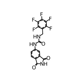 O=C(NCc1c(F)c(F)c(F)c(F)c1F)Nc1ccc2c(c1)C(=O)NC2=O